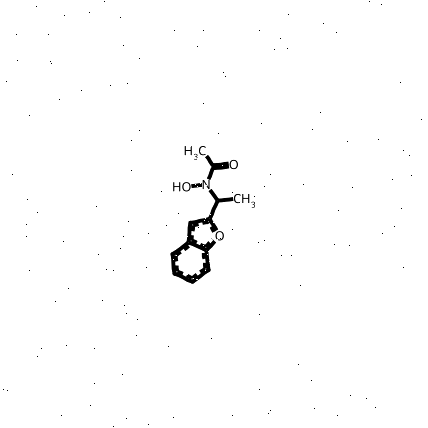 CC(=O)N(O)C(C)c1cc2ccccc2o1